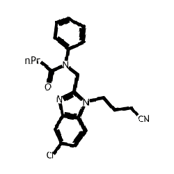 CCCC(=O)N(Cc1nc2cc(Cl)ccc2n1CCCC#N)c1ccccc1